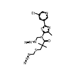 CCc1cncc(-c2nc(C)c(N(CN=[N+]=[N-])C(=O)C(C)(C)CSCN=[N+]=[N-])s2)c1